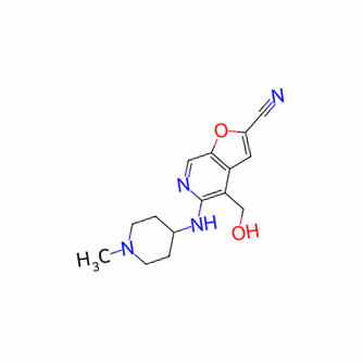 CN1CCC(Nc2ncc3oc(C#N)cc3c2CO)CC1